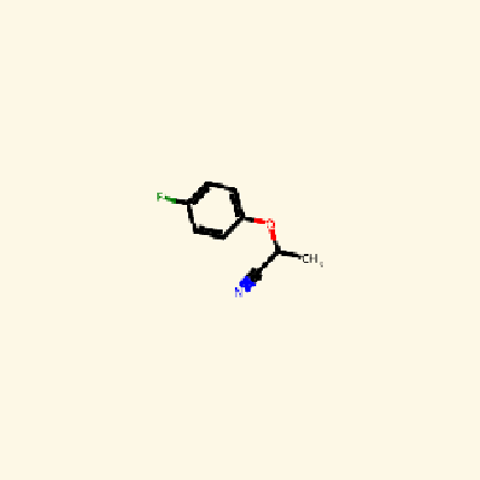 CC(C#N)Oc1ccc(F)cc1